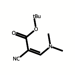 CN(C)/C=C(/C#N)C(=O)OC(C)(C)C